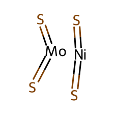 [S]=[Mo]=[S].[S]=[Ni]=[S]